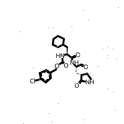 O=C[C@H](C[C@@H]1CCNC1=O)NC(=O)[C@H](CC1CCCCC1)NC(=O)OCc1ccc(Cl)cc1